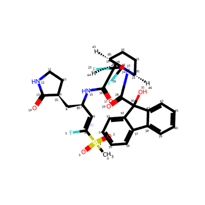 CS(=O)(=O)/C(F)=C/[C@@H](C[C@@H]1CCNC1=O)NC(=O)[C@H]1[C@H]2CC[C@H](CC2(F)F)N1C(=O)C1(O)c2ccccc2-c2ccccc21